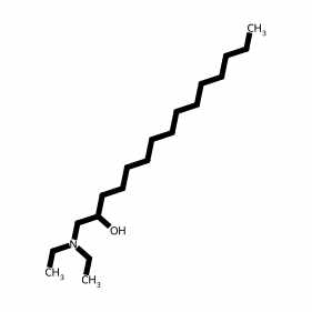 CCCCCCCCCCCCCC(O)CN(CC)CC